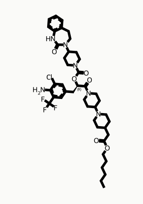 CCCCCCOC(=O)CC1CCN(C2CCN(C(=O)[C@@H](Cc3cc(Cl)c(N)c(C(F)(F)F)c3)OC(=O)N3CCC(N4CCc5ccccc5NC4=O)CC3)CC2)CC1